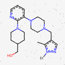 CCn1ncc(CN2CCN(c3cccnc3N3CCC(CO)CC3)CC2)c1C